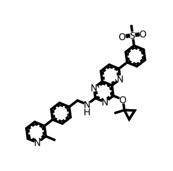 Cc1ncccc1-c1ccc(CNc2nc(OC3(C)CC3)c3nc(-c4cccc(S(C)(=O)=O)c4)ccc3n2)cc1